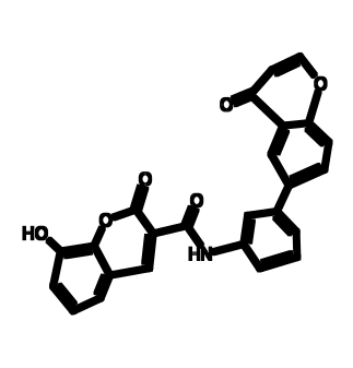 O=C(Nc1cccc(-c2ccc3occc(=O)c3c2)c1)c1cc2cccc(O)c2oc1=O